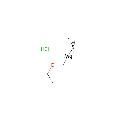 CC(C)O[CH2][Mg][SiH](C)C.Cl